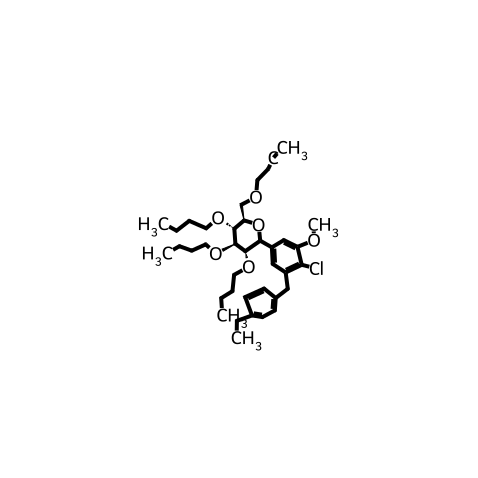 CCCCOC[C@H]1OC(c2cc(Cc3ccc(CC)cc3)c(Cl)c(OC)c2)[C@H](OCCCC)[C@@H](OCCCC)[C@@H]1OCCCC